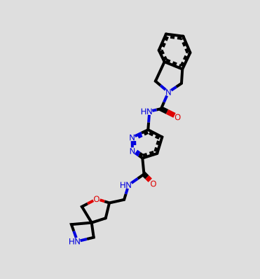 O=C(NCC1CC2(CNC2)CO1)c1ccc(NC(=O)N2Cc3ccccc3C2)nn1